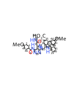 COc1ccc(C(=O)Nc2ncnc3c2c(CC(=O)NCC(=O)O)nn3CCNC(c2ccccc2)(c2ccccc2)c2ccc(OC)cc2)cc1